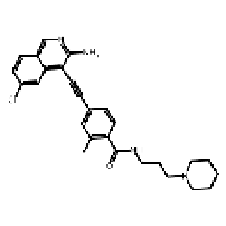 Cc1cc(C#Cc2c(N)ncc3ccc(Cl)cc23)ccc1C(=O)NCCCN1CCCCC1